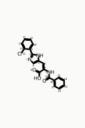 O=C(O)/C(=C\c1cnc(-c2ccccc2Cl)[nH]1)NC(=O)c1ccccc1